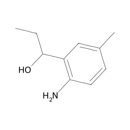 CCC(O)c1cc(C)ccc1N